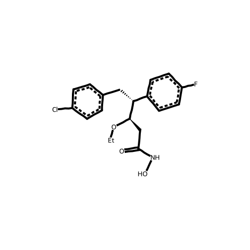 CCO[C@H](CC(=O)NO)[C@H](Cc1ccc(Cl)cc1)c1ccc(F)cc1